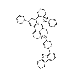 C=C(/C=C(\C=C/Nc1ccc(-c2cccc3c4c(sc23)C=CCC4)cc1)C1=CCCC=C1c1cc(-c2ccccc2)cc(C2C=CCCC2)n1)c1ccccc1